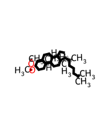 COC1(OC)C=C2CC[C@H]3[C@@H]4CC[C@H]([C@H](C)CCCC(C)C)[C@@]4(C)CC[C@@H]3[C@@]2(C)CC1